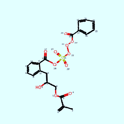 C=C(C)C(=O)OCC(O)Cc1ccccc1C(=O)OS(=O)(=O)OOOC(=O)c1ccccc1